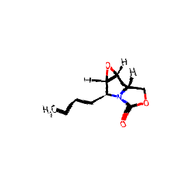 CCCC[C@H]1[C@@H]2O[C@@H]2[C@@H]2COC(=O)N12